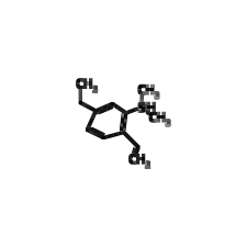 C=Cc1ccc(CC)cc1[SiH](C)C